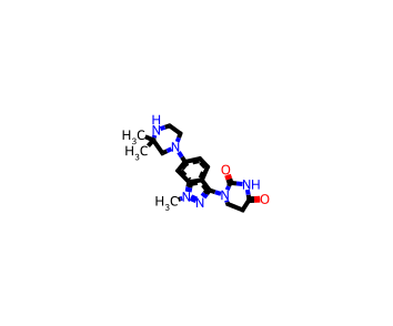 Cn1nc(N2CCC(=O)NC2=O)c2ccc(N3CCNC(C)(C)C3)cc21